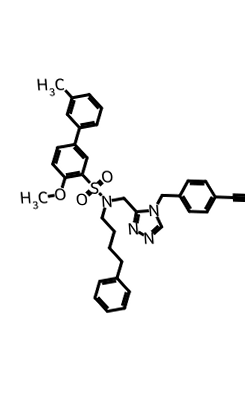 COc1ccc(-c2cccc(C)c2)cc1S(=O)(=O)N(CCCCc1ccccc1)Cc1nncn1Cc1ccc(C#N)cc1